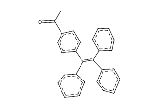 CC(=O)c1ccc(C(=C(c2ccccc2)c2ccccc2)c2ccccc2)cc1